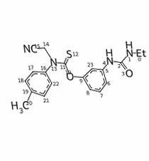 CCNC(=O)Nc1cccc(OC(=S)N(CC#N)c2ccc(C)cc2)c1